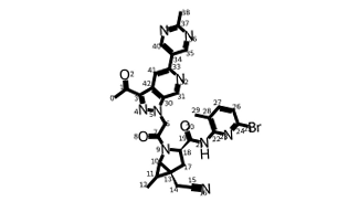 CC(=O)c1nn(CC(=O)N2C3C(C)[C@@]3(CC#N)C[C@@H]2C(=O)Nc2nc(Br)ccc2C)c2cnc(-c3cnc(C)nc3)cc12